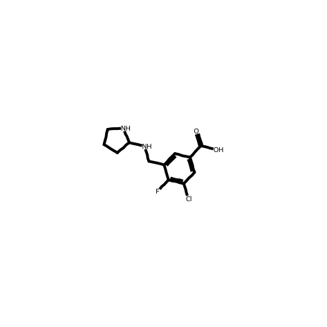 O=C(O)c1cc(Cl)c(F)c(CNC2CCCN2)c1